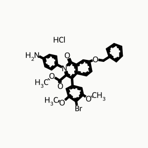 COC(=O)c1c(-c2cc(OC)c(Br)c(OC)c2)c2ccc(OCc3ccccc3)cc2c(=O)n1-c1ccc(N)cc1.Cl